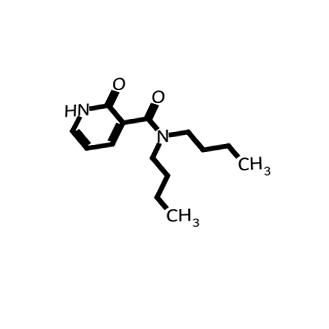 CCCCN(CCCC)C(=O)c1ccc[nH]c1=O